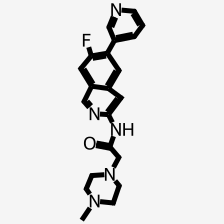 CN1CCN(CC(=O)Nc2cc3cc(-c4cccnc4)c(F)cc3cn2)CC1